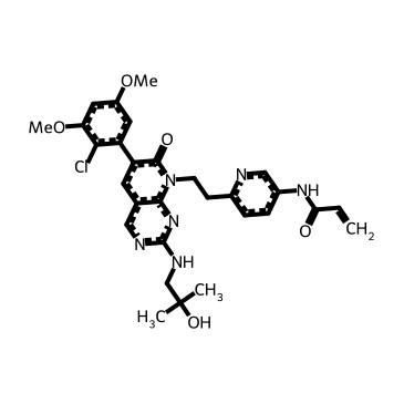 C=CC(=O)Nc1ccc(CCn2c(=O)c(-c3cc(OC)cc(OC)c3Cl)cc3cnc(NCC(C)(C)O)nc32)nc1